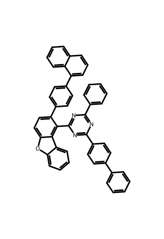 c1ccc(-c2ccc(-c3nc(-c4ccccc4)nc(-c4c(-c5ccc(-c6cccc7ccccc67)cc5)ccc5oc6ccccc6c45)n3)cc2)cc1